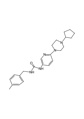 Cc1ccc(CNC(=O)Nc2ccc(N3CCN(C4CCCC4)CC3)nc2)cc1